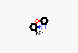 CCCc1cccc2c1Nc1ccccc1O2